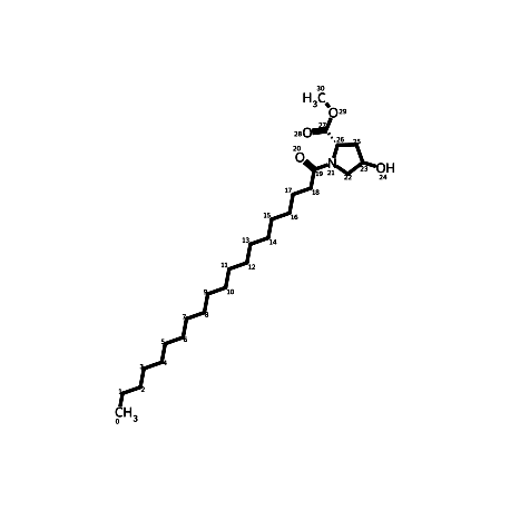 CCCCCCCCCCCCCCCCCCCC(=O)N1CC(O)C[C@H]1C(=O)OC